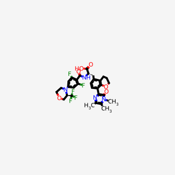 Cc1nc(-c2ccc(C[C@H](NC(=O)c3c(F)cc(N4CCOC[C@@H]4C(F)(F)F)cc3F)C(=O)O)c3c2OCCC3)c(=O)n(C)c1C